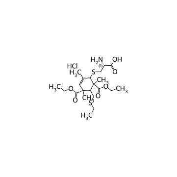 CCOC(=O)C1(C)C=C(C)C(SC[C@H](N)C(=O)O)C(C)(C(=O)OCC)C1CSCC.Cl